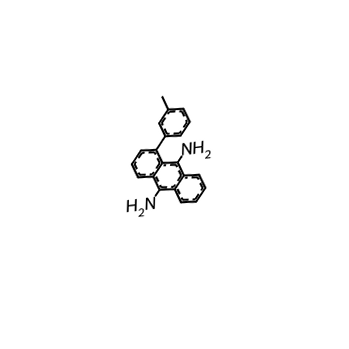 Cc1cccc(-c2cccc3c(N)c4ccccc4c(N)c23)c1